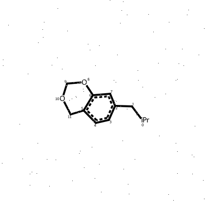 CC(C)Cc1ccc2c(c1)OCOC2